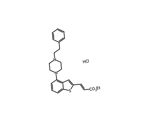 CCOC(=O)C=Cc1cc2c(N3CCN(CCc4ccccc4)CC3)cccc2s1.Cl